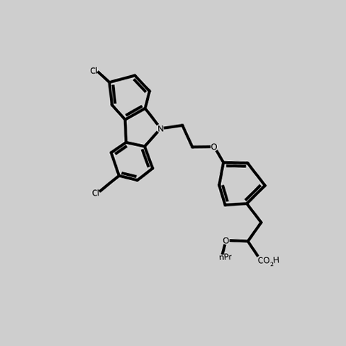 CCCOC(Cc1ccc(OCCn2c3ccc(Cl)cc3c3cc(Cl)ccc32)cc1)C(=O)O